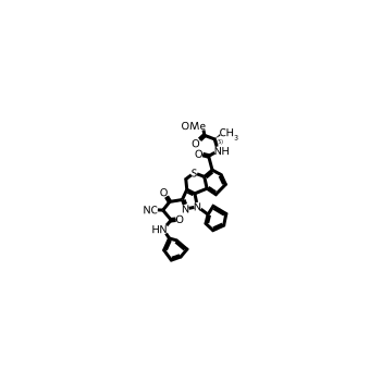 COC(=O)[C@H](C)NC(=O)c1cccc2c1SCc1c(C(=O)C(C#N)C(=O)Nc3ccccc3)nn(-c3ccccc3)c1-2